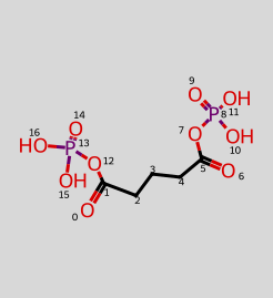 O=C(CCCC(=O)OP(=O)(O)O)OP(=O)(O)O